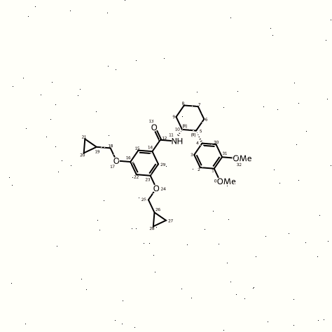 COc1ccc([C@H]2CCCC[C@H]2NC(=O)c2cc(OCC3CC3)cc(OCC3CC3)c2)cc1OC